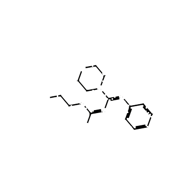 CCCN/C(C)=N\C(=N/c1ccccc1)N1CCOCC1